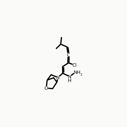 CC(C)C=C=C(Cl)/C=C(\NN)N1CC2CC1CO2